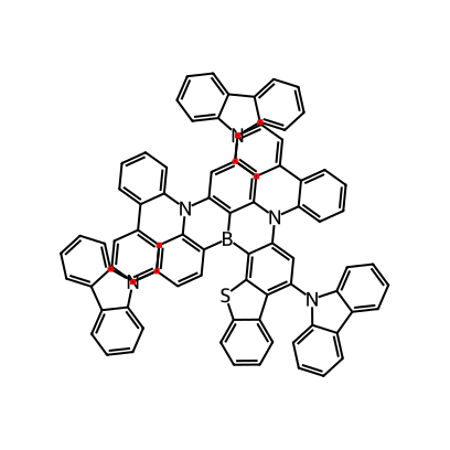 c1ccc(-c2ccccc2N2c3cc(-n4c5ccccc5c5ccccc54)ccc3B3c4c2cc(-n2c5ccccc5c5ccccc52)cc4N(c2ccccc2-c2ccccc2)c2cc(-n4c5ccccc5c5ccccc54)c4c(sc5ccccc54)c23)cc1